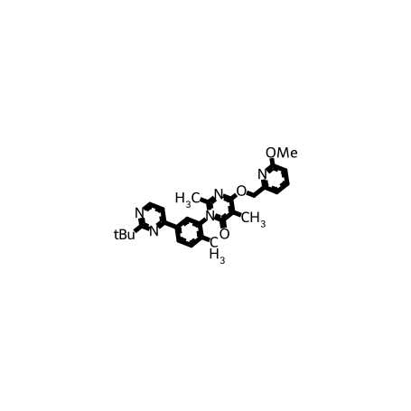 COc1cccc(COc2nc(C)n(-c3cc(-c4ccnc(C(C)(C)C)n4)ccc3C)c(=O)c2C)n1